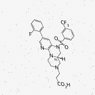 O=C(O)CCN1CCN2c3ncc(-c4ccccc4F)cc3N(S(=O)(=O)c3cccc(C(F)(F)F)c3)C[C@@H]2C1